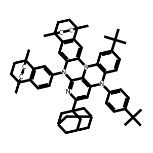 CC(C)(C)c1ccc(N2c3ccc(C(C)(C)C)cc3B3c4cc5c(cc4N(c4ccc6c(c4)C4(C)CCC6(C)CC4)c4nc(C67CC8CC(CC(C8)C6)C7)cc2c43)C2(C)CCC5(C)CC2)cc1